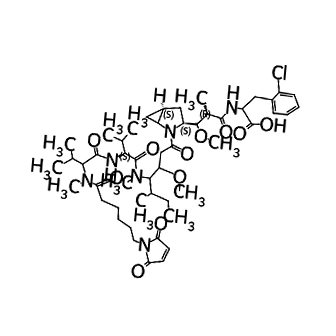 CCC(C)C(C(CC(=O)N1C2C[C@H]2C[C@H]1C(OC)[C@@H](C)C(=O)NC(Cc1ccccc1Cl)C(=O)O)OC)N(C)C(=O)[C@@H](NC(=O)C(C(C)C)N(C)C(=O)CCCCCN1C(=O)C=CC1=O)C(C)C